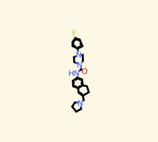 O=C(Nc1ccc2c(c1)CCC(CN1CCCC1)=C2)N1CCN(c2ccc(F)cc2)CC1